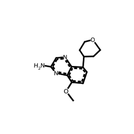 COc1ccc(C2CCOCC2)c2ncc(N)nc12